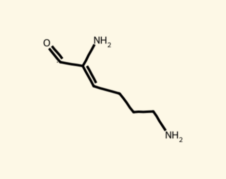 NCCC/C=C(\N)[C]=O